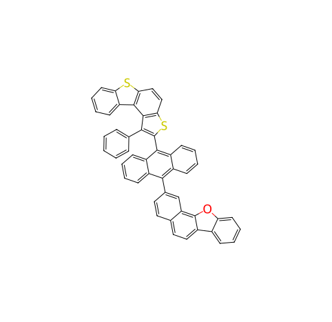 c1ccc(-c2c(-c3c4ccccc4c(-c4ccc5ccc6c7ccccc7oc6c5c4)c4ccccc34)sc3ccc4sc5ccccc5c4c23)cc1